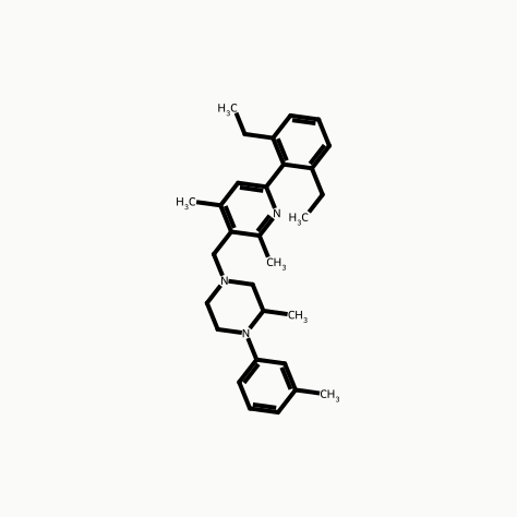 CCc1cccc(CC)c1-c1cc(C)c(CN2CCN(c3cccc(C)c3)C(C)C2)c(C)n1